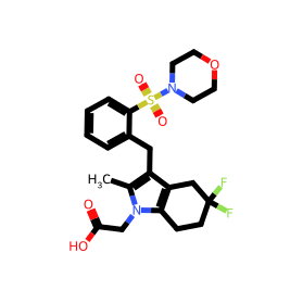 Cc1c(Cc2ccccc2S(=O)(=O)N2CCOCC2)c2c(n1CC(=O)O)CCC(F)(F)C2